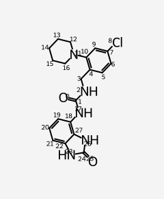 O=C(NCc1ccc(Cl)cc1N1CCCCC1)Nc1cccc2[nH]c(=O)[nH]c12